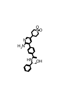 C=C(N[C@H](CO)c1ccccc1)c1ccc(-c2cc(C3CCS(=O)(=O)CC3)cnc2N)cc1